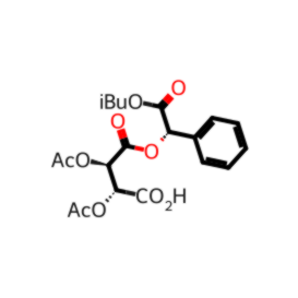 CC(=O)O[C@@H](C(=O)O)[C@@H](OC(C)=O)C(=O)O[C@H](C(=O)OCC(C)C)c1ccccc1